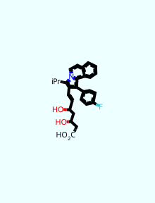 CC(C)c1c(/C=C/C(O)CC(O)CC(=O)O)c(-c2ccc(F)cc2)c2c3ccccc3ccn12